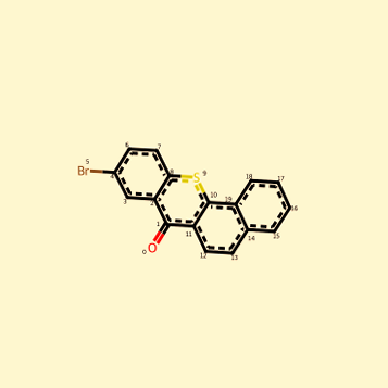 O=c1c2cc(Br)ccc2sc2c1ccc1ccccc12